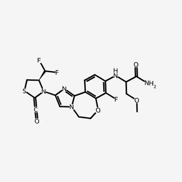 COCC(Nc1ccc2c(c1F)OCCn1cc(N3C(=C=O)SC[C@H]3C(F)F)nc1-2)C(N)=O